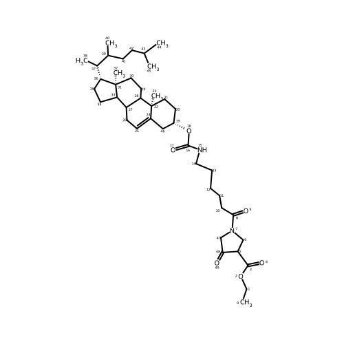 CCOC(=O)C1CN(C(=O)CCCCCNC(=O)O[C@H]2CC[C@@]3(C)C(=CCC4C3CC[C@@]3(C)C4CC[C@@H]3C(C)C(C)CCC(C)C)C2)CC1=O